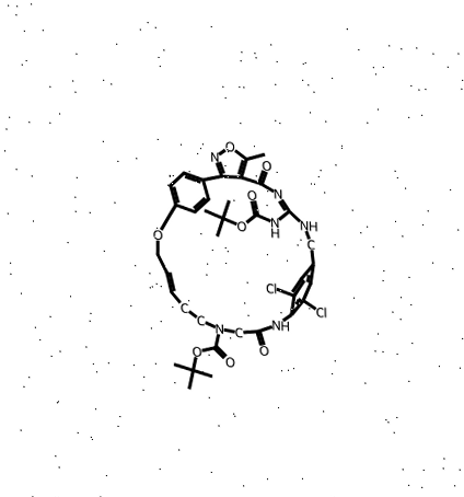 Cc1onc2c1C(=O)/N=C(\NC(=O)OC(C)(C)C)NCc1cc(Cl)c(c(Cl)c1)NC(=O)CN(C(=O)OC(C)(C)C)CC/C=C/COc1ccc-2cc1